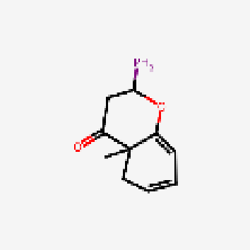 CC12CC=CC=C1OC(P)CC2=O